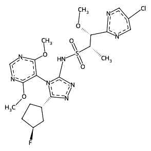 COc1ncnc(OC)c1-n1c(NS(=O)(=O)[C@@H](C)[C@H](OC)c2ncc(Cl)cn2)nnc1[C@H]1CC[C@H](F)C1